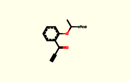 C#CC(=O)c1ccccc1OC(C)CCCCC